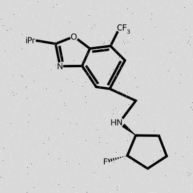 CC(C)c1nc2cc(CN[C@H]3CCC[C@@H]3F)cc(C(F)(F)F)c2o1